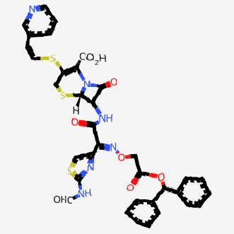 O=CNc1nc(C(=NOCC(=O)OC(c2ccccc2)c2ccccc2)C(=O)NC2C(=O)N3C(C(=O)O)=C(S/C=C\c4cccnc4)CS[C@@H]23)cs1